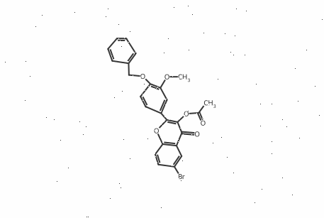 COc1cc(-c2oc3ccc(Br)cc3c(=O)c2OC(C)=O)ccc1OCc1ccccc1